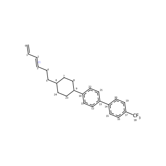 C=C/C=C/CCC1CCC(c2ccc(-c3ccc(C(F)(F)F)cc3)cc2)CC1